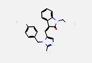 CCCc1ncc(C=C2C(=O)N(CC(=O)O)c3ccccc32)n1Cc1ccc(C(=O)O)cc1